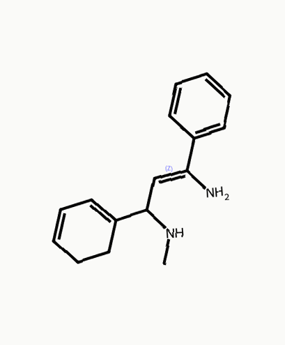 CNC(/C=C(\N)c1ccccc1)C1=CC=CCC1